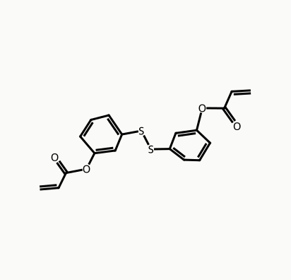 C=CC(=O)Oc1cccc(SSc2cccc(OC(=O)C=C)c2)c1